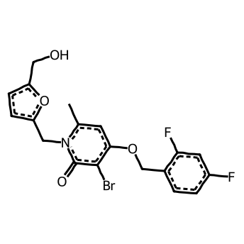 Cc1cc(OCc2ccc(F)cc2F)c(Br)c(=O)n1Cc1ccc(CO)o1